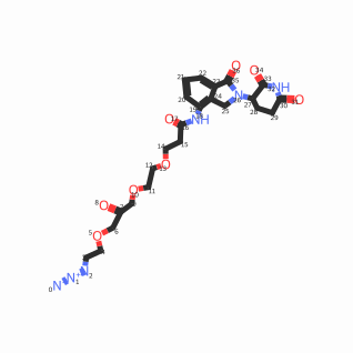 [N-]=[N+]=NCCOCC(=O)COCCOCCC(=O)Nc1cccc2c1CN(C1CCC(=O)NC1=O)C2=O